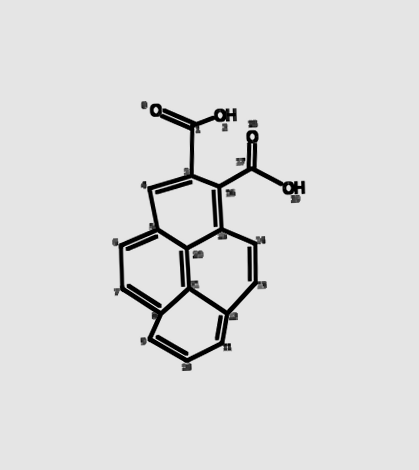 O=C(O)c1cc2ccc3cccc4ccc(c1C(=O)O)c2c34